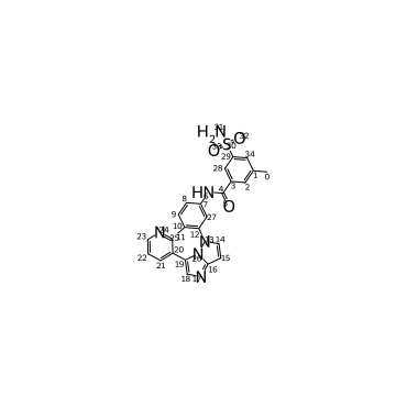 Cc1cc(C(=O)Nc2ccc(C)c(-n3ccc4ncc(-c5cccnc5)n43)c2)cc(S(N)(=O)=O)c1